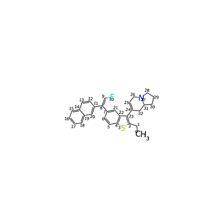 CCc1sc2ccc(C(=CF)c3ccc4ccccc4c3)cc2c1C1=CCN2CCCC2C1